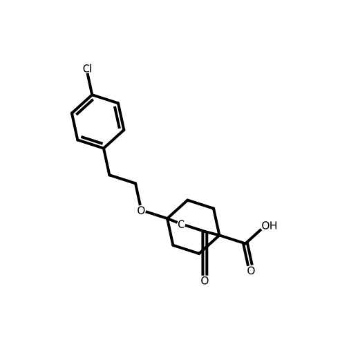 O=C(O)C12CCC(OCCc3ccc(Cl)cc3)(CC1)CC2=O